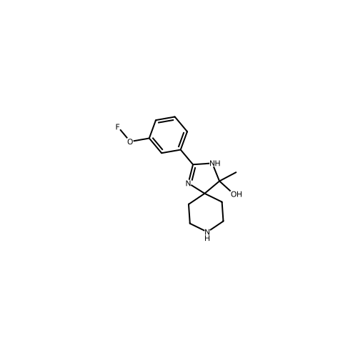 CC1(O)NC(c2cccc(OF)c2)=NC12CCNCC2